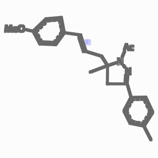 COc1ccc(/C=C/CC2(C)CC(c3ccc(C)cc3)=NN2C(C)=O)cc1